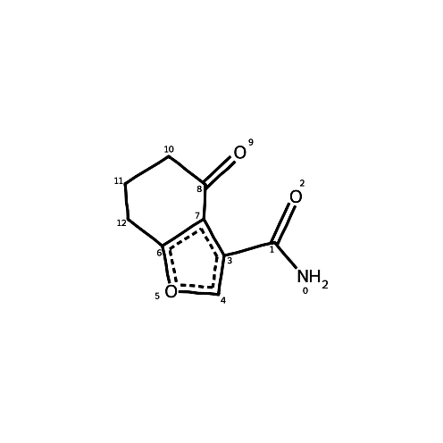 NC(=O)c1coc2c1C(=O)CCC2